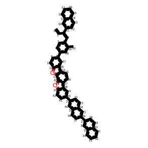 C=C/C(=C\c1ccc(-c2ccc3oc4c(ccc5c6cc(-c7ccc8cc(-c9ccc%10ccccc%10c9)ccc8c7)ccc6oc54)c3c2)cc1C)c1ccc2ccccc2c1